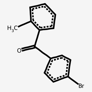 Cc1ccccc1C(=O)c1ccc(Br)cc1